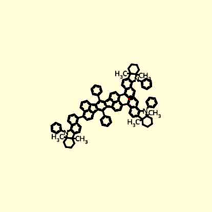 CC12CCCCC1(C)N(c1ccccc1)c1c2ccc2c(-c3ccc4c5c(-c6ccccc6)c6c7ccc(-c8cccc9c%10c(ccc89)C8(C)CCCCC8(C)N%10c8ccccc8)c8c(-c9cccc%10c%11c(ccc9%10)C9(C)CCCCC9(C)N%11c9ccccc9)ccc(c6c(-c6ccccc6)c5c5cccc3c54)c87)cccc12